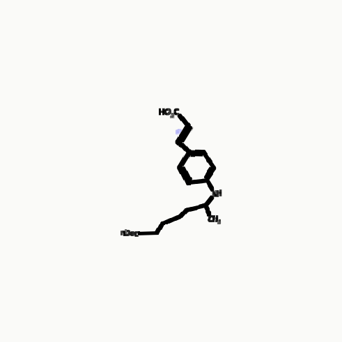 CCCCCCCCCCCCCCC(C)Nc1ccc(/C=C/C(=O)O)cc1